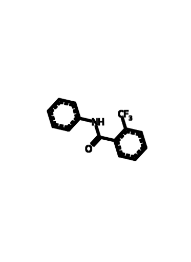 O=C(Nc1ccccc1)c1ccccc1C(F)(F)F